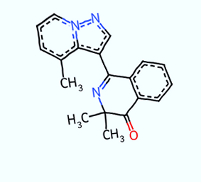 Cc1cccn2ncc(C3=NC(C)(C)C(=O)c4ccccc43)c12